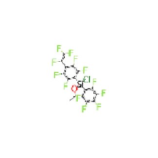 CCO[Si](Cl)(c1c(F)c(F)c(F)c(F)c1F)c1c(F)c(F)c(C(F)=C(F)F)c(F)c1F